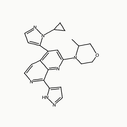 CC1COCCN1c1cc(-c2ccnn2C2CC2)c2ccnc(-c3ccn[nH]3)c2n1